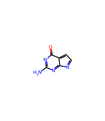 NC1=[N+]C(=O)C2=CC=NC2=N1